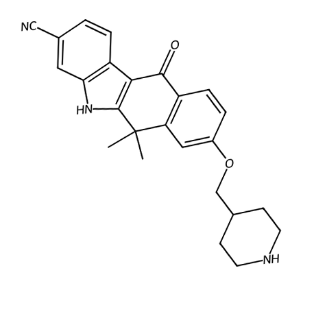 CC1(C)c2cc(OCC3CCNCC3)ccc2C(=O)c2c1[nH]c1cc(C#N)ccc21